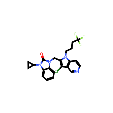 O=c1n(Cc2c(Cl)c3cnccc3n2CCCC(F)(F)F)c2ccccc2n1C1CC1